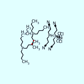 CC.CCCCP(CCCC)CCCC.CCCCP(CCCC)CCCC.N#CCCPCCC#N.N#CCCPCCC#N.[Cl][Ni][Cl].[Cl][Ni][Cl]